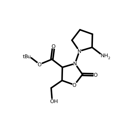 CC(C)(C)OC(=O)C1C(CO)OC(=O)N1N1CCCC1N